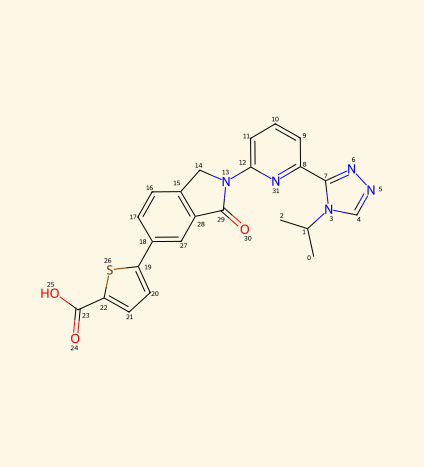 CC(C)n1cnnc1-c1cccc(N2Cc3ccc(-c4ccc(C(=O)O)s4)cc3C2=O)n1